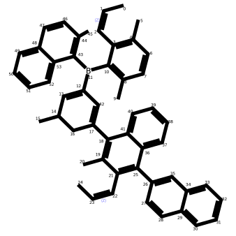 C/C=C\c1c(C)ccc(C)c1B(C1=CC(C)CC(c2c(C)c(/C=C\C)c(-c3ccc4ccccc4c3)c3ccccc23)=C1)c1c(C)ccc2ccccc12